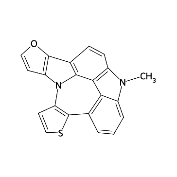 Cn1c2cccc3c4sccc4n4c5ccoc5c5ccc1c(c32)c54